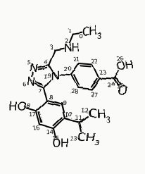 CCNCc1nnc(-c2cc(C(C)C)c(O)cc2O)n1-c1ccc(C(=O)O)cc1